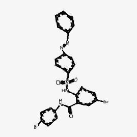 O=C(Nc1ccc(Br)cc1)c1cc(Br)ccc1NS(=O)(=O)c1ccc(N=Nc2ccccc2)cc1